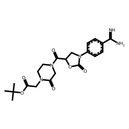 CC(C)(C)OC(=O)CN1CCN(C(=O)C2CN(c3ccc(C(=N)N)cc3)C(=O)O2)CC1=O